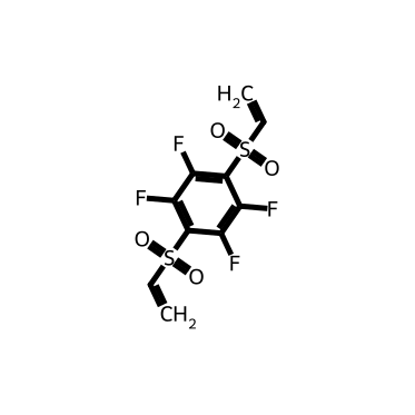 C=CS(=O)(=O)c1c(F)c(F)c(S(=O)(=O)C=C)c(F)c1F